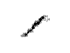 Cc1c(NC(=O)c2ccc(CNCCNC(=O)CCCNC(=O)OC(C)(C)C)cn2)cccc1-c1cccc(NC(=O)c2ccc(CN3C[C@H](O)C[C@H]3C(=O)O)cn2)c1Cl